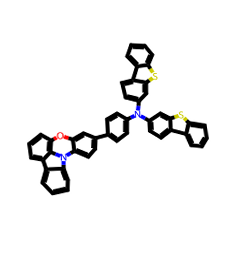 c1ccc2c(c1)sc1cc(N(c3ccc(-c4ccc5c(c4)Oc4cccc6c7ccccc7n-5c46)cc3)c3ccc4c(c3)sc3ccccc34)ccc12